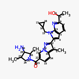 Cc1c(-c2cc3ccc(C(C)O)nc3n2CC2CC2)nn2cc(C(=O)N3CC(C)C(N)C3C)ccc12